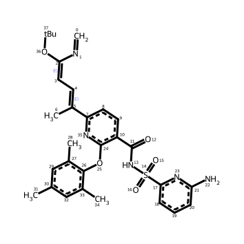 C=N/C(=C\C=C(/C)c1ccc(C(=O)NS(=O)(=O)c2cccc(N)n2)c(Oc2c(C)cc(C)cc2C)n1)OC(C)(C)C